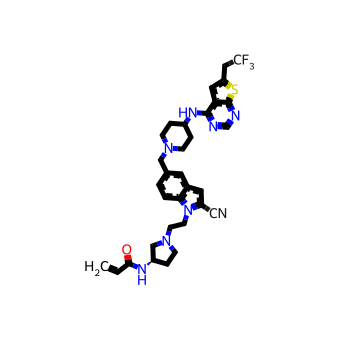 C=CC(=O)N[C@H]1CCN(CCn2c(C#N)cc3cc(CN4CCC(Nc5ncnc6sc(CC(F)(F)F)cc56)CC4)ccc32)C1